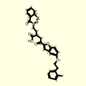 Cc1ccccc1CCOc1ccc2oc(C(=O)CC(CCn3nnc4ccccc4c3=O)C(=O)O)cc2c1